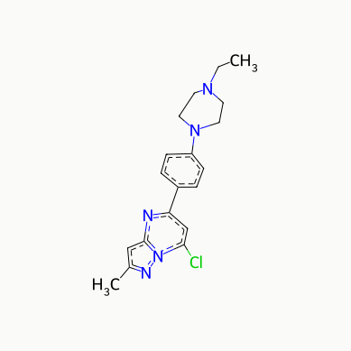 CCN1CCN(c2ccc(-c3cc(Cl)n4nc(C)cc4n3)cc2)CC1